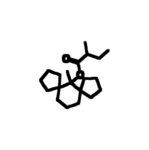 CCC(C)C(=O)OC1(C)C2(CCCC2)CCCC12CCCC2